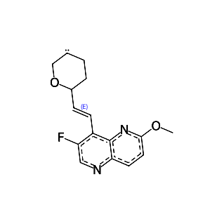 COc1ccc2ncc(F)c(/C=C/C3CC[C]CO3)c2n1